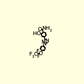 NC(=O)c1ccc(-c2ncn(-c3ccc(OC(F)(F)C(F)(F)F)cc3)n2)cc1O